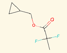 CC(F)(F)C(=O)OCC1CC1